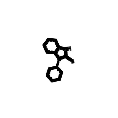 S=c1[nH]c2ccccc2n1-c1ccccc1